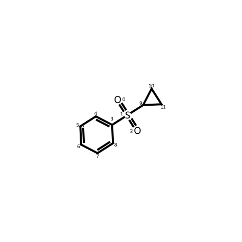 O=S(=O)(c1c[c]ccc1)C1CC1